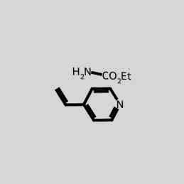 C=Cc1ccncc1.CCOC(N)=O